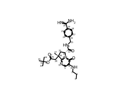 CCCNc1cnc2n(c1=O)[C@@H](C(=O)NCc1ccc(C(=N)N)cc1)C[C@@]2(C)CC(=O)OC(C)(C)C